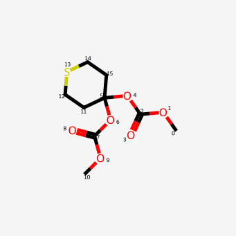 COC(=O)OC1(OC(=O)OC)CCSCC1